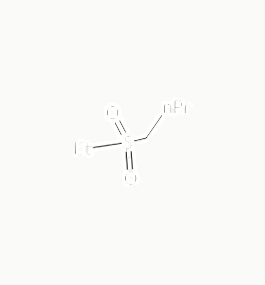 [CH2]CCCS(=O)(=O)CC